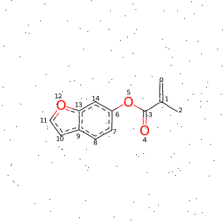 C=C(C)C(=O)Oc1ccc2ccoc2c1